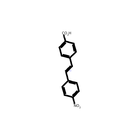 O=C(O)c1ccc(/C=C/c2ccc([N+](=O)[O-])cc2)cc1